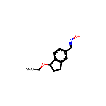 COCOC1CCc2cc(/C=N/O)ccc21